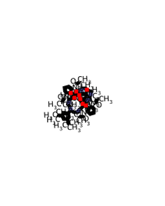 CC(C)C(=O)Nc1cccc(NC(=O)C(C)C)c1C1=C2/C=C\C=C(/c3cc(C(C)(C)C)cc(C(C)(C)C)c3)C/C=C\C3=C(c4c(NC(=O)C(C)C)cccc4NC(=O)C(C)C)C4=C/C=C/C(c5cc(C(C)(C)C)cc(C(C)(C)C)c5)=C/C=C\C1=NC(N2)(N3)N\4